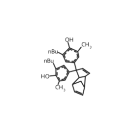 CCCCc1cc(C2(c3cc(C)c(O)c(CCCC)c3)C=CC3C4C=CC(C4)C32)cc(C)c1O